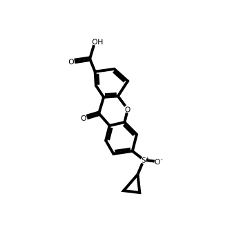 O=C(O)c1ccc2oc3cc([S+]([O-])C4CC4)ccc3c(=O)c2c1